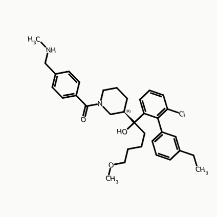 CCc1cccc(-c2c(Cl)cccc2C(O)(CCCCOC)[C@@H]2CCCN(C(=O)c3ccc(CNC)cc3)C2)c1